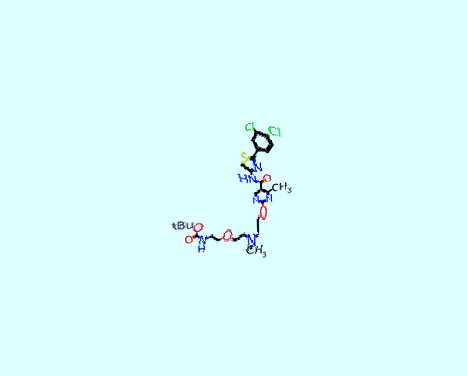 Cc1nc(OCCN(C)CCOCCNC(=O)OC(C)(C)C)ncc1C(=O)Nc1csc(-c2ccc(Cl)c(Cl)c2)n1